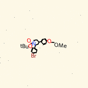 COCCOc1ccc(C2CCN(C(=O)OC(C)(C)C)C(c3ccc(Br)cc3)C2)cc1